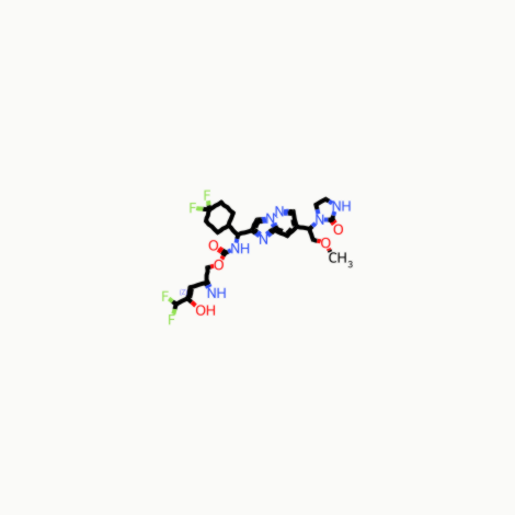 COCC(c1cnn2cc(C(NC(=O)OCC(=N)/C=C(\O)C(F)F)C3CCC(F)(F)CC3)nc2c1)N1CCNC1=O